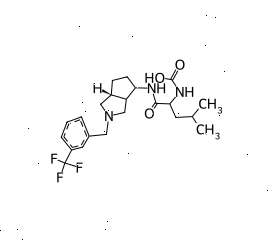 CC(C)CC(NC(=O)O)C(=O)NC1CC[C@H]2CN(Cc3cccc(C(F)(F)F)c3)CC12